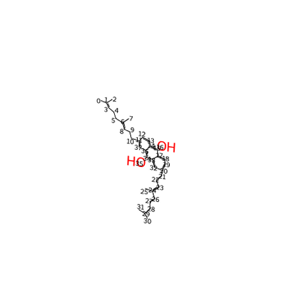 CC(C)=CCC/C(C)=C/CCc1ccc2c(O)c3ccc(CC/C=C(\C)CCCC(C)C)cc3c(O)c2c1